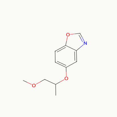 COCC(C)Oc1ccc2ocnc2c1